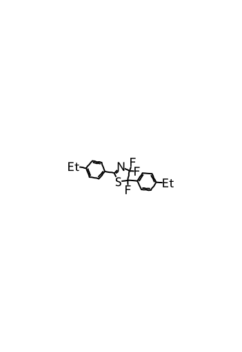 CCc1ccc(C2=NC(F)(F)C(F)(c3ccc(CC)cc3)S2)cc1